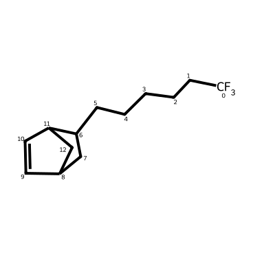 FC(F)(F)CCCCCC1CC2C=CC1C2